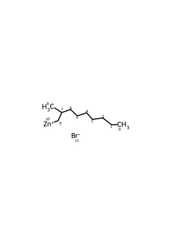 CCCCCCCC(C)[CH2][Zn+].[Br-]